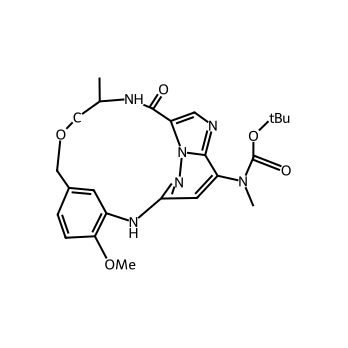 COc1ccc2cc1Nc1cc(N(C)C(=O)OC(C)(C)C)c3ncc(n3n1)C(=O)NC(C)COC2